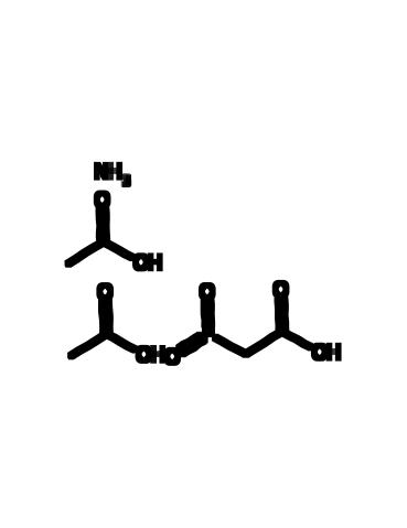 CC(=O)O.CC(=O)O.N.O=C(O)CP(=O)=O